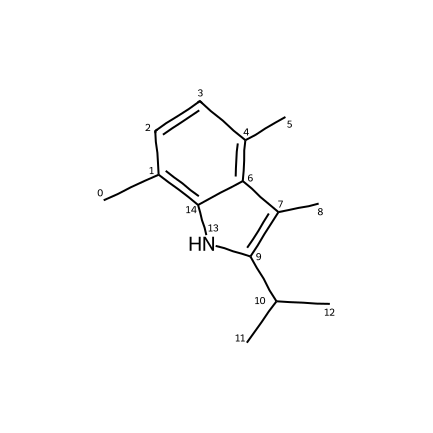 Cc1ccc(C)c2c(C)c(C(C)C)[nH]c12